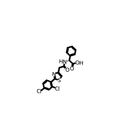 O=C(Cc1csc(-c2ccc(Cl)cc2Cl)n1)N[C@@H](C(=O)O)c1ccccc1